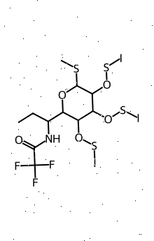 CCC(NC(=O)C(F)(F)F)C1OC(SC)C(OSI)C(OSI)C1OSI